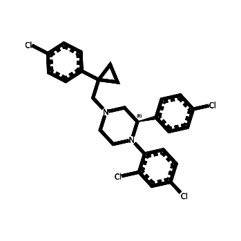 Clc1ccc([C@@H]2CN(CC3(c4ccc(Cl)cc4)CC3)CCN2c2ccc(Cl)cc2Cl)cc1